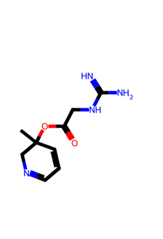 CC1(OC(=O)CNC(=N)N)C=CC=NC1